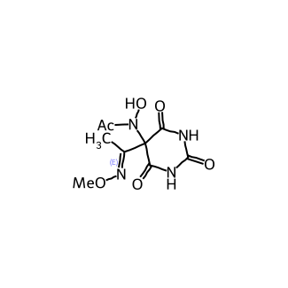 CO/N=C(\C)C1(N(O)C(C)=O)C(=O)NC(=O)NC1=O